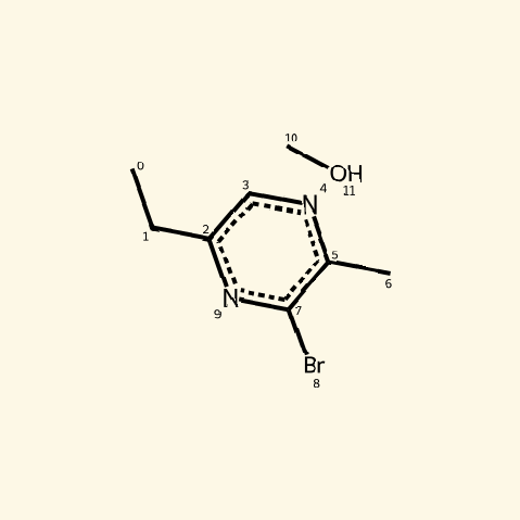 CCc1cnc(C)c(Br)n1.CO